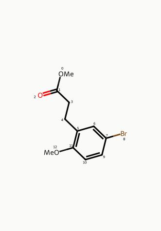 COC(=O)CCc1cc(Br)ccc1OC